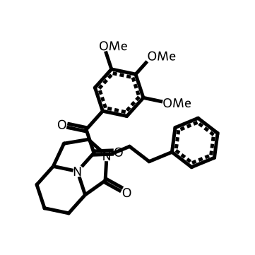 COc1cc(C(=O)C(=O)N2C3CCCC2C(=O)N(CCc2ccccc2)CC3)cc(OC)c1OC